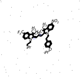 CC(C)CCN1/C(=C/C=C/C2N(CCc3ccc(OC(C)C)cc3)c3ccc([N+](=O)[O-])cc3C2(C)C)C(C)(C)c2cc(C(F)(F)F)ccc21